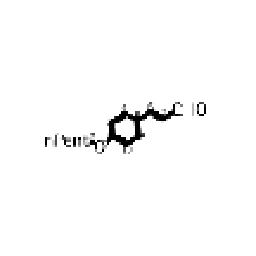 CCCCCOc1ccc(C=C[C]=O)cc1